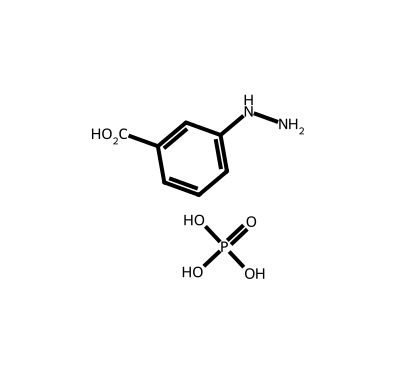 NNc1cccc(C(=O)O)c1.O=P(O)(O)O